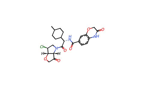 CC1CCC([C@H](NC(=O)c2ccc3c(c2)OCC(=O)N3)C(=O)N2C[C@H](Cl)[C@H]3OCC(=O)[C@H]32)CC1